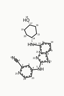 N#Cc1cc(Nc2nc3cccc(N[C@H]4CC[C@@H](O)CC4)n3n2)ccn1